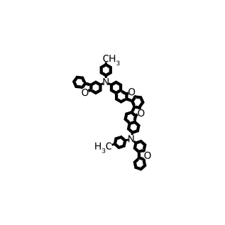 Cc1ccc(N(c2ccc3c(ccc4c3oc3ccc5oc6c7ccc(N(c8ccc(C)cc8)c8ccc9oc%10ccccc%10c9c8)cc7ccc6c5c34)c2)c2ccc3oc4ccccc4c3c2)cc1